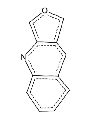 c1ccc2nc3cocc3cc2c1